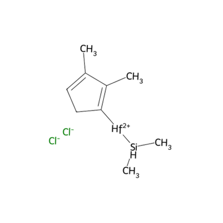 CC1=CC[C]([Hf+2][SiH](C)C)=C1C.[Cl-].[Cl-]